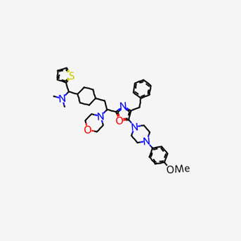 COc1ccc(N2CCN(c3oc(C(CC4CCC(C(c5cccs5)N(C)C)CC4)N4CCOCC4)nc3Cc3ccccc3)CC2)cc1